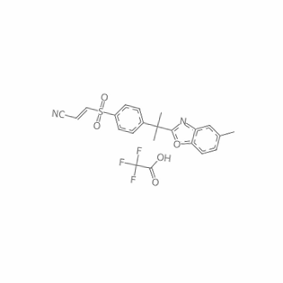 Cc1ccc2oc(C(C)(C)c3ccc(S(=O)(=O)C=CC#N)cc3)nc2c1.O=C(O)C(F)(F)F